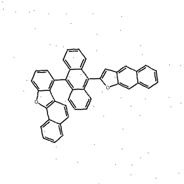 c1ccc2cc3oc(-c4c5ccccc5c(-c5cccc6oc7c8ccccc8ccc7c56)c5ccccc45)cc3cc2c1